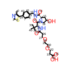 Cc1ncsc1-c1ccc(CNC(=O)[C@@H]2C[C@@H](O)CN2C(=O)[C@@H](NC(=O)CCOCCOCCC(=O)O)C(C)(C)C)cc1